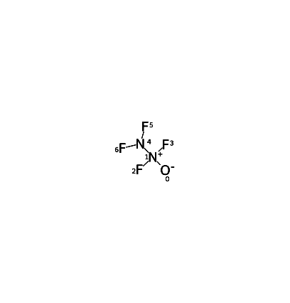 [O-][N+](F)(F)N(F)F